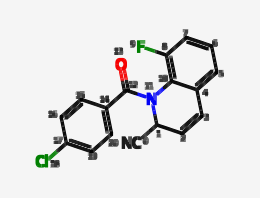 N#CC1C=Cc2cccc(F)c2N1C(=O)c1ccc(Cl)cc1